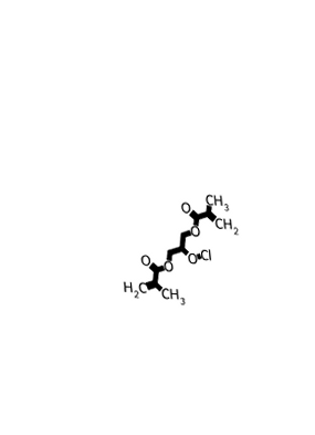 C=C(C)C(=O)OCC(COC(=O)C(=C)C)OCl